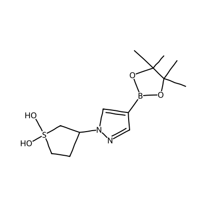 CC1(C)OB(c2cnn(C3CCS(O)(O)C3)c2)OC1(C)C